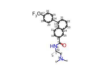 C[C@@H](CN(C)C)NC(=O)c1ccc2c(-c3ccc(C(F)(F)F)cc3)cccc2c1